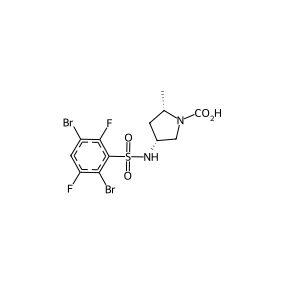 C[C@H]1C[C@@H](NS(=O)(=O)c2c(F)c(Br)cc(F)c2Br)CN1C(=O)O